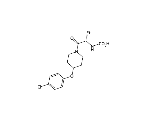 CC[C@H](NC(=O)O)C(=O)N1CCC(Oc2ccc(Cl)cc2)CC1